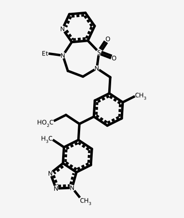 CCN1CCN(Cc2cc(C(CC(=O)O)c3ccc4c(nnn4C)c3C)ccc2C)S(=O)(=O)c2cccnc21